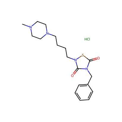 CN1CCN(CCCCn2sc(=O)n(Cc3ccccc3)c2=O)CC1.Cl